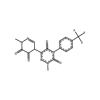 CN1N=CC(c2nn(C)c(=O)n(-c3ccc(C(F)(F)F)cc3)c2=O)C(=O)C1=O